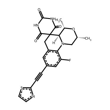 C[C@@H]1CN2c3c(F)cc(C#Cc4nccs4)cc3CC3(C(=O)NC(=O)NC3=O)[C@H]2[C@H](C)O1